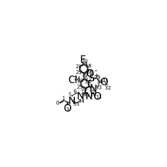 C=CC(=O)N1CCN(c2nc(=O)n3c4c(c(-c5ccc(F)cc5)c(Cl)cc24)[S+]([O-])CC(OC)C3)CC1